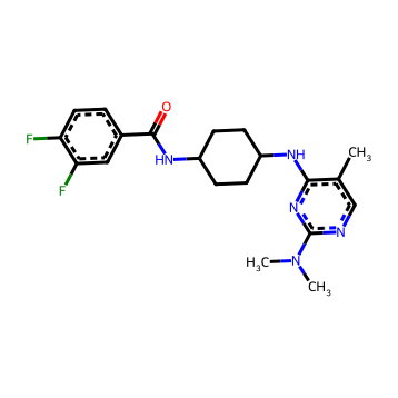 Cc1cnc(N(C)C)nc1NC1CCC(NC(=O)c2ccc(F)c(F)c2)CC1